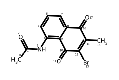 CC(=O)Nc1cccc2c1C(=O)C(Br)=C(C)C2=O